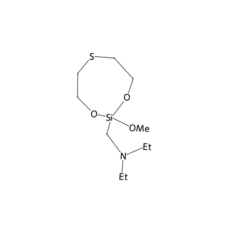 CCN(CC)C[Si]1(OC)OCCSCCO1